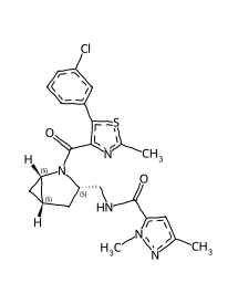 Cc1cc(C(=O)NC[C@@H]2C[C@@H]3C[C@@H]3N2C(=O)c2nc(C)sc2-c2cccc(Cl)c2)n(C)n1